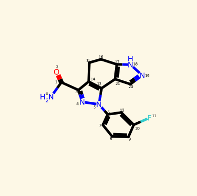 NC(=O)c1nn(-c2cccc(F)c2)c2c1CCc1[nH]ncc1-2